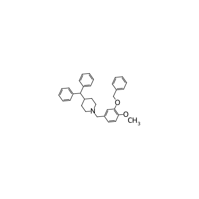 COc1ccc(CN2CCC(C(c3ccccc3)c3ccccc3)CC2)cc1OCc1ccccc1